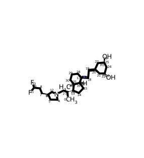 CC(CN1CC[C@@H](CCC(F)F)C1)[C@H]1CC[C@H]2/C(=C/C=C3C[C@@H](O)C[C@H](O)C3)CCC[C@]12C